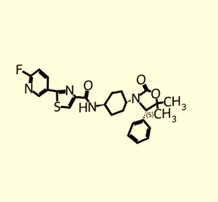 CC1(C)OC(=O)N([C@H]2CC[C@H](NC(=O)c3csc(-c4ccc(F)nc4)n3)CC2)[C@H]1c1ccccc1